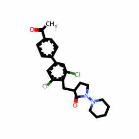 CC(=O)c1ccc(-c2cc(Cl)c(CC3CCN(N4CCCCC4)C3=O)c(Cl)c2)cc1